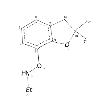 CCNOc1cccc2c1OC(C)(C)C2